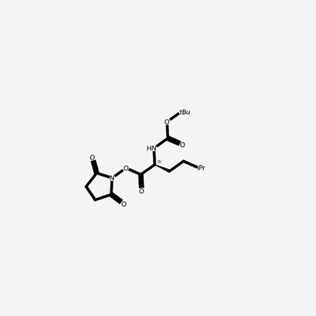 CC(C)CC[C@H](NC(=O)OC(C)(C)C)C(=O)ON1C(=O)CCC1=O